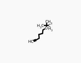 C#CCCCCOC(C)(C)C